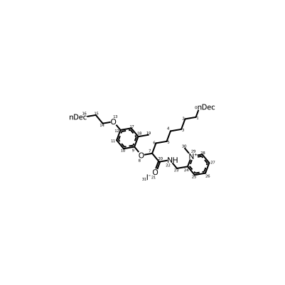 CCCCCCCCCCCCCCCCC(Oc1ccc(OCCCCCCCCCCCC)cc1C)C(=O)NCc1cccc[n+]1C.[I-]